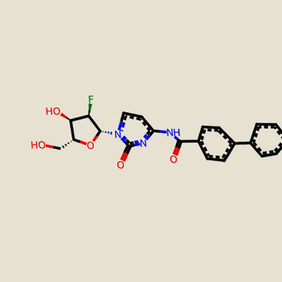 O=C(Nc1ccn([C@@H]2O[C@H](CO)[C@@H](O)[C@H]2F)c(=O)n1)c1ccc(-c2ccccc2)cc1